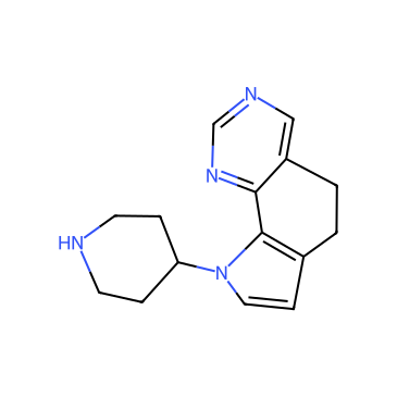 c1ncc2c(n1)-c1c(ccn1C1CCNCC1)CC2